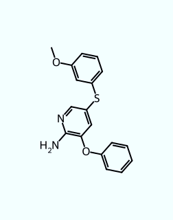 COc1cccc(Sc2cnc(N)c(Oc3ccccc3)c2)c1